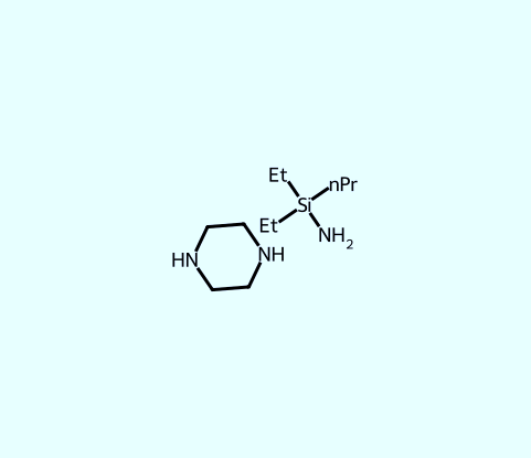 C1CNCCN1.CCC[Si](N)(CC)CC